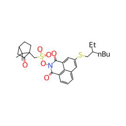 CCCCC(CC)CSc1cc2c3c(cccc3c1)C(=O)N(OS(=O)(=O)CC13CCC(CC1=O)C3(C)C)C2=O